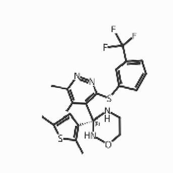 Cc1cc([C@]2(c3c(Sc4cccc(C(F)(F)F)c4)nnc(C)c3C)NCCON2)c(C)s1